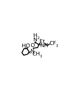 CCC(CCN(C)[C@@H]1CCCC[C@H]1O)(N/C=C/C(F)(F)F)C(N)=O